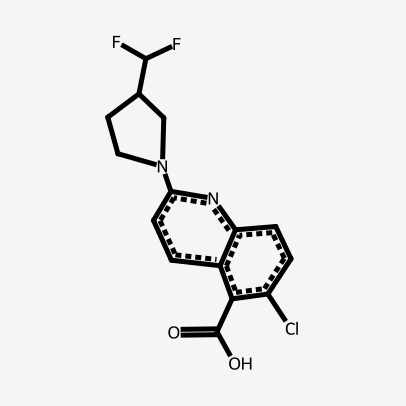 O=C(O)c1c(Cl)ccc2nc(N3CCC(C(F)F)C3)ccc12